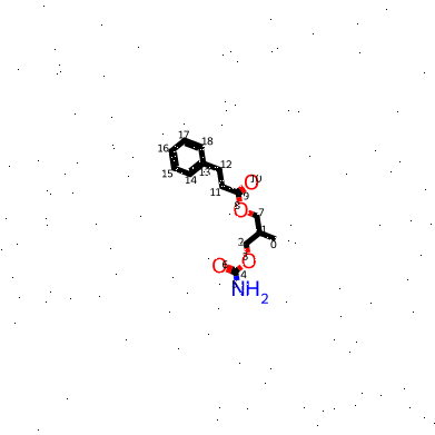 CC(COC(N)=O)COC(=O)CCc1ccccc1